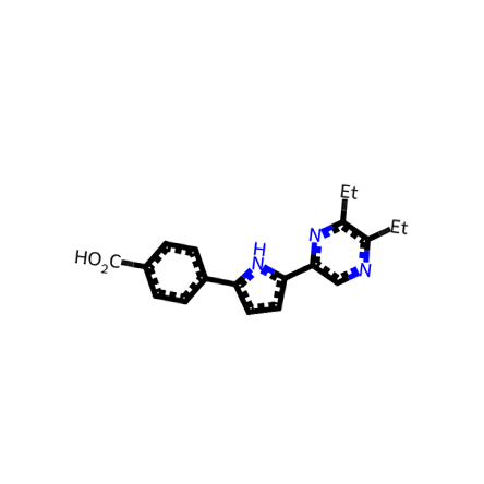 CCc1ncc(-c2ccc(-c3ccc(C(=O)O)cc3)[nH]2)nc1CC